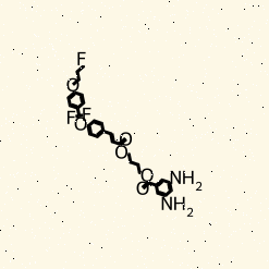 Nc1cc(N)cc(C(=O)OCCCCOC(=O)C=Cc2ccc(OC(F)(F)c3ccc(OCCCF)cc3)cc2)c1